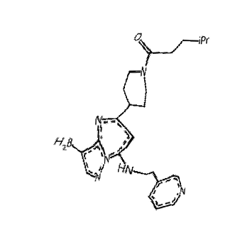 Bc1cnn2c(NCc3cccnc3)cc(C3CCN(C(=O)CCC(C)C)CC3)nc12